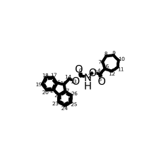 O=C(NOC(=O)C1CCCCCC1)OCC1c2ccccc2-c2ccccc21